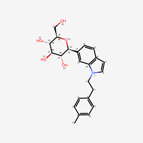 Cc1ccc(CCn2ccc3ccc([C@@H]4O[C@H](CO)[C@@H](O)[C@H](O)[C@H]4O)cc32)cc1